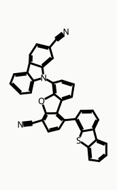 N#Cc1ccc2c3ccccc3n(-c3cccc4c3oc3c(C#N)ccc(-c5cccc6c5sc5ccccc56)c34)c2c1